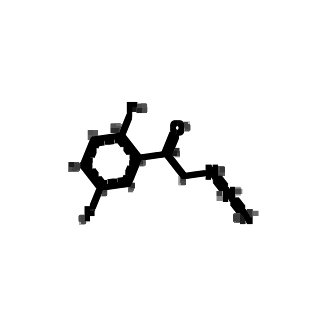 [N-]=[N+]=NCC(=O)c1cc(F)ccc1F